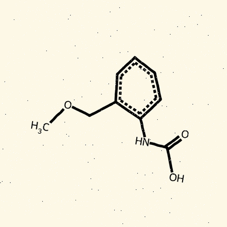 COCc1ccccc1NC(=O)O